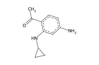 CC(=O)c1ccc(N)cc1NC1CC1